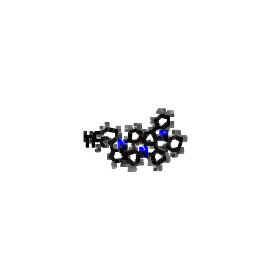 C#C/C=C\c1c(C)c2ccccc2n1C1=CC=CCC1c1ccccc1-n1c2ccccc2c2c1ccc1c3ccccc3n(-c3ccccc3)c12